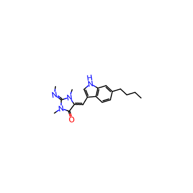 CCCCc1ccc2c(C=C3C(=O)N(C)C(=NC)N3C)c[nH]c2c1